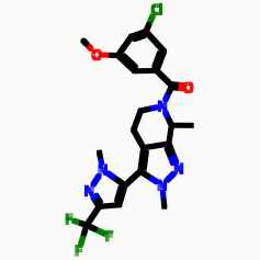 COc1cc(Cl)cc(C(=O)N2CCc3c(nn(C)c3-c3cc(C(F)(F)F)nn3C)C2C)c1